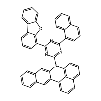 c1ccc2cc3c(cc2c1)-c1cccc2cccc(c12)N3c1nc(-c2cccc3ccccc23)nc(-c2cccc3c2oc2ccccc23)n1